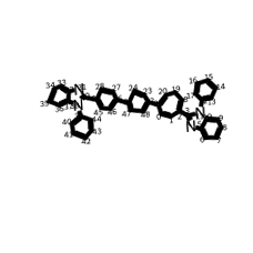 C1=CC(c2nc3ccccc3n2-c2ccccc2)=CCC=C1c1ccc(-c2ccc(-c3nc4ccccc4n3-c3ccccc3)cc2)cc1